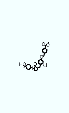 COC(=O)c1ccc(COc2ccc(CC3CCN(C4CCC(C)(O)CC4)C3=O)c(Cl)c2)cc1